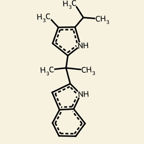 Cc1cc(C(C)(C)c2cc3ccccc3[nH]2)[nH]c1C(C)C